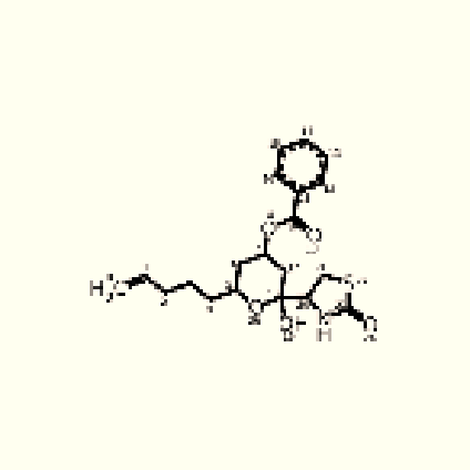 C=CCCCC1CC(OC(=O)c2ccccc2)CC(O)(C2CSC(=O)N2)O1